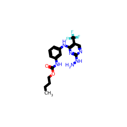 CCCCOC(=O)Nc1cccc(Nc2nc(NN)ncc2C(F)(F)F)c1